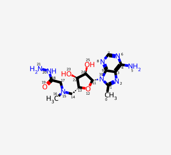 Cc1nc2c(N)ncnc2n1[C@@H]1O[C@H](CN(C)CC(=O)NN)[C@@H](O)[C@H]1O